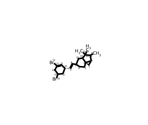 CC1C2C[C@]23CCC(/C=C/[C@H]2C=C(Br)CC(Br)C2)CC3C1(C)C